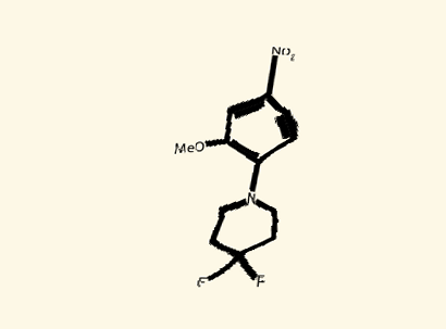 COc1cc([N+](=O)[O-])ccc1N1CCC(F)(F)CC1